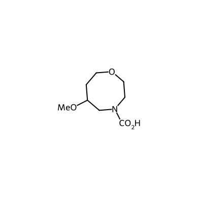 COC1CCOCCN(C(=O)O)C1